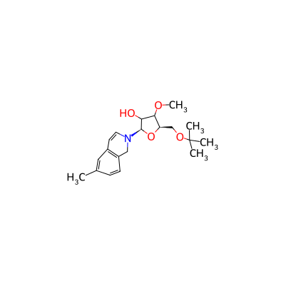 COC1C(O)[C@H](N2C=Cc3cc(C)ccc3C2)O[C@@H]1COC(C)(C)C